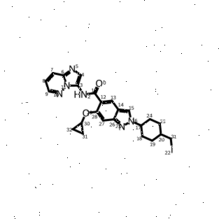 O=C(Nc1cnc2cccnn12)c1cc2cn(C3CCC(CI)CC3)nc2cc1OC1CC1